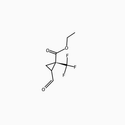 CCOC(=O)[C@@]1(C(F)(F)F)CC1C=O